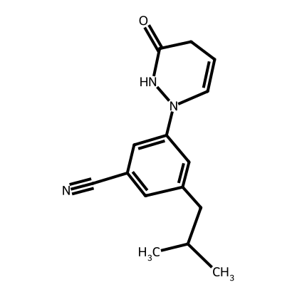 CC(C)Cc1cc(C#N)cc(N2C=CCC(=O)N2)c1